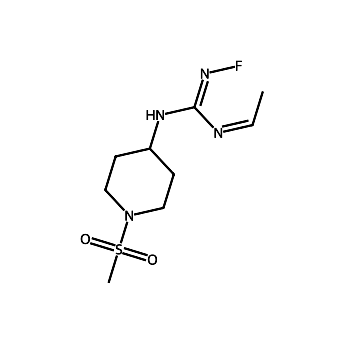 C/C=N\C(=N/F)NC1CCN(S(C)(=O)=O)CC1